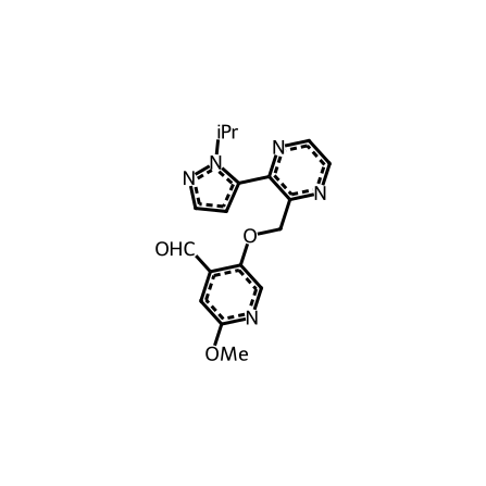 COc1cc(C=O)c(OCc2nccnc2-c2ccnn2C(C)C)cn1